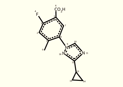 Cc1cc(F)c(C(=O)O)cc1-n1cnc(C2CC2)n1